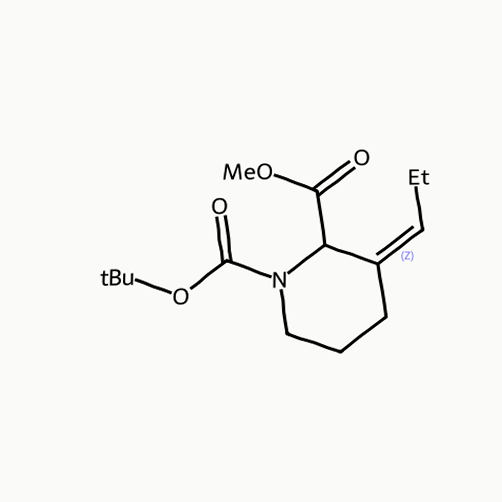 CC/C=C1/CCCN(C(=O)OC(C)(C)C)C1C(=O)OC